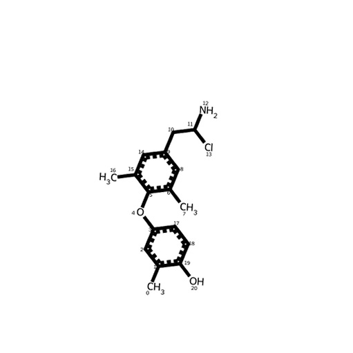 Cc1cc(Oc2c(C)cc(CC(N)Cl)cc2C)ccc1O